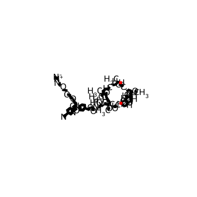 C=C1C[C@@H]2CC[C@]34C[C@@H](OC)[C@H](O3)[C@H]3C[C@@H](O4)[C@H]4O[C@H](CC[C@@H]4O3)CC(=O)C[C@@H]3[C@@H](OC)[C@@H](C[C@H](O)CNC(=O)OCc4ccc(N(CCOCCOCCOCCN=[N+]=[N-])S(=O)(=O)c5ccc(C#N)cn5)cc4)O[C@H]3C[C@H]3O[C@@H](CC[C@@H]1O2)C[C@@H](C)C3=C